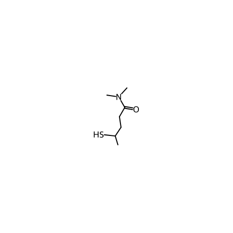 CC(S)CCC(=O)N(C)C